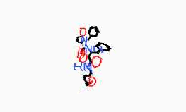 O=C(NCC1CCCO1)C(=O)C(Cc1ccccc1)NC(=O)[C@@H]1CCC(=O)N1Cc1ccccc1